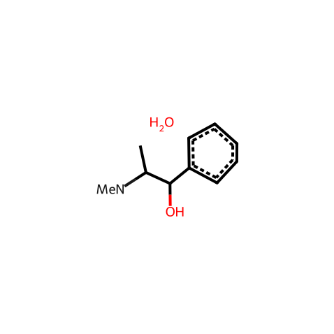 CNC(C)C(O)c1ccccc1.O